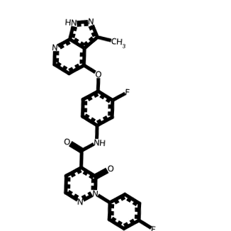 Cc1n[nH]c2nccc(Oc3ccc(NC(=O)c4ccnn(-c5ccc(F)cc5)c4=O)cc3F)c12